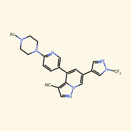 CC(=O)N1CCN(c2ccc(-c3cc(-c4cnn(C(F)(F)F)c4)cn4ncc(C#N)c34)cn2)CC1